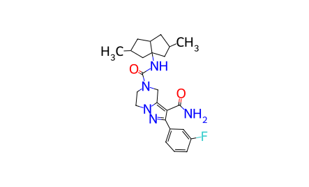 CC1CC2CC(C)CC2(NC(=O)N2CCn3nc(-c4cccc(F)c4)c(C(N)=O)c3C2)C1